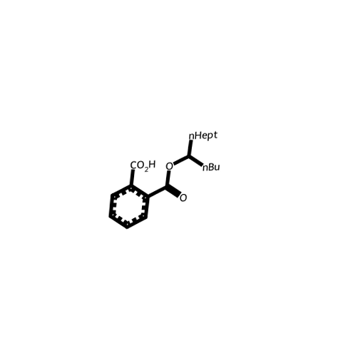 CCCCCCCC(CCCC)OC(=O)c1ccccc1C(=O)O